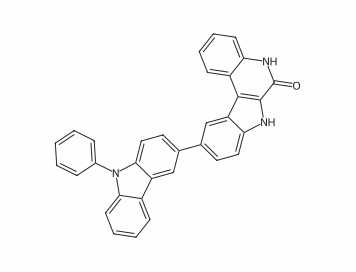 O=c1[nH]c2ccccc2c2c1[nH]c1ccc(-c3ccc4c(c3)c3ccccc3n4-c3ccccc3)cc12